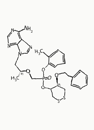 Cc1ccccc1OP(=O)(CO[C@H](C)Cn1cnc2c(N)ncnc21)OC1CSSC[C@@H]1OCc1ccccc1